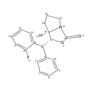 O=C1O[C@H](C(c2ccccc2)c2ccccc2F)[C@H]2CCCN12